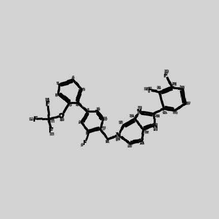 Fc1cc(-c2ccccc2OC(F)(F)F)ccc1Cn1ccc2nc(-c3cccc(F)c3F)nc-2c1